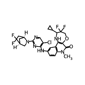 Cn1c(=O)c2c(c3cc(Nc4nc(N5C[C@@H]6C[C@H]5CC6(F)F)ncc4Cl)ccc31)NC(C1CC1)C(F)(F)CO2